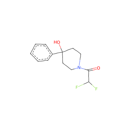 O=C(C(F)F)N1CCC(O)(c2ccccc2)CC1